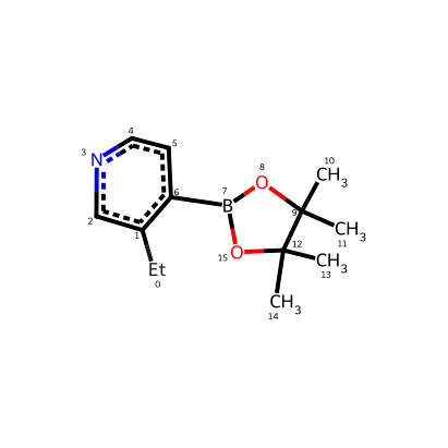 CCc1cnccc1B1OC(C)(C)C(C)(C)O1